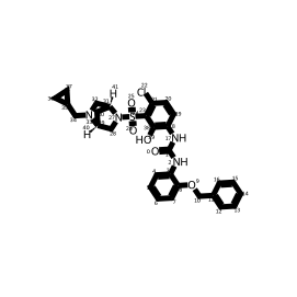 O=C(Nc1ccccc1OCc1ccccc1)Nc1ccc(Cl)c(S(=O)(=O)N2C[C@@H]3C[C@H]2CN3CC2CC2)c1O